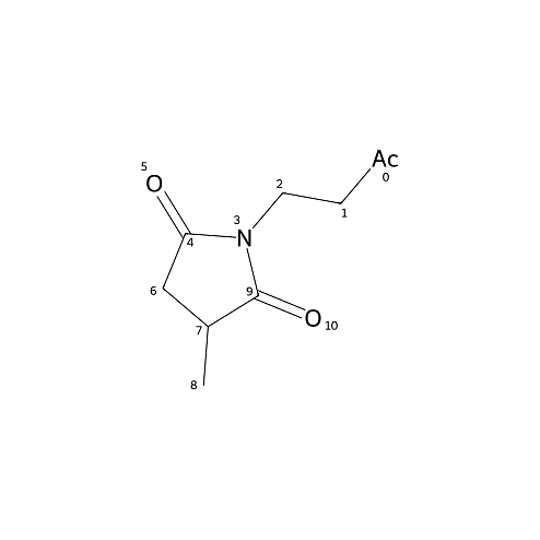 CC(=O)CCN1C(=O)CC(C)C1=O